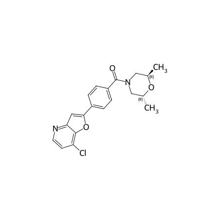 C[C@@H]1CN(C(=O)c2ccc(-c3cc4nccc(Cl)c4o3)cc2)C[C@@H](C)O1